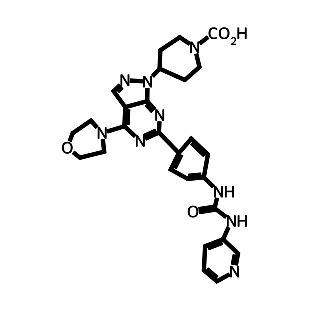 O=C(Nc1ccc(-c2nc(N3CCOCC3)c3cnn(C4CCN(C(=O)O)CC4)c3n2)cc1)Nc1cccnc1